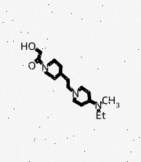 CCN(C)C1CCN(CCC2CCN(C(=O)CO)CC2)CC1